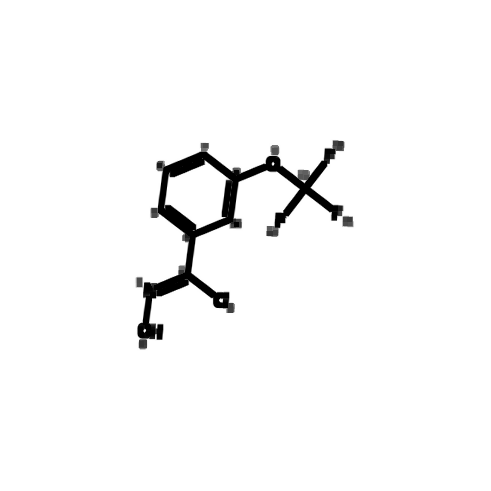 ON=C(Cl)c1cccc(OC(F)(F)F)c1